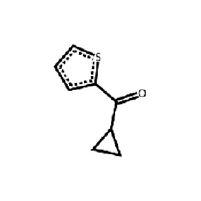 O=C(c1cccs1)C1CC1